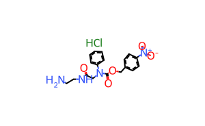 Cl.NCCNC(=O)CN(C(=O)OCc1ccc([N+](=O)[O-])cc1)c1ccccc1